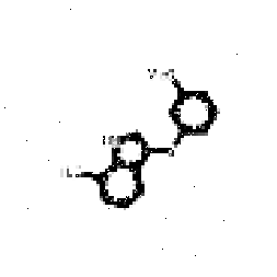 COc1cccc(Sc2c[nH]c3c(C)cccc23)c1